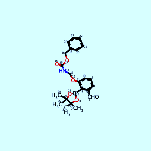 CC1(C)OB(c2c(C=O)cccc2OCNC(=O)OCc2ccccc2)OC1(C)C